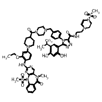 CCOc1cc(N2CCC(C(=O)N3CCN(Cc4ccc(-n5c(C(=O)NCCN6CCN(S(C)(=O)=O)CC6)nnc5-c5cc(C(C)C)c(O)cc5O)cc4)CC3)CC2)ccc1Nc1ncc2c(n1)N(S(C)(=O)=O)c1ccccc1C(=O)N2C